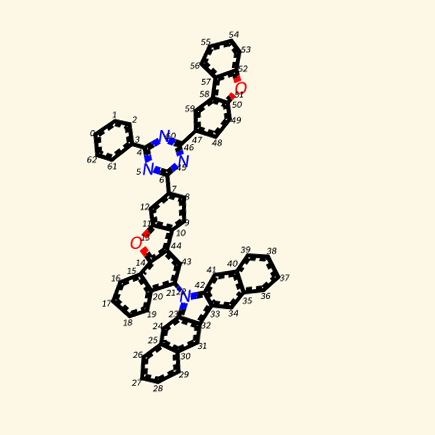 c1ccc(-c2nc(-c3ccc4c(c3)oc3c5ccccc5c(-n5c6cc7ccccc7cc6c6cc7ccccc7cc65)cc43)nc(-c3ccc4oc5ccccc5c4c3)n2)cc1